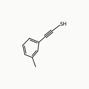 Cc1cccc(C#CS)c1